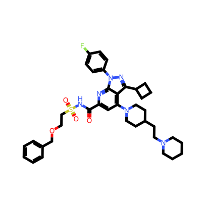 O=C(NS(=O)(=O)CCOCc1ccccc1)c1cc(N2CCC(CCN3CCCCC3)CC2)c2c(C3CCC3)nn(-c3ccc(F)cc3)c2n1